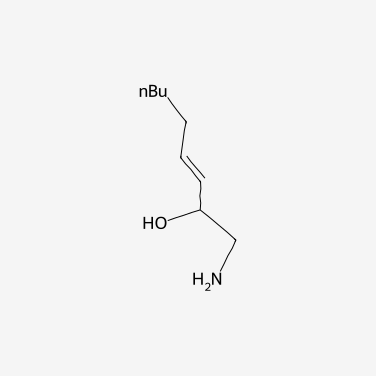 CCCCCC=CC(O)CN